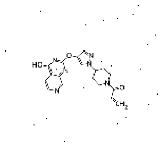 C=CC(=O)N1CCC(n2cc(Oc3nc(O)c4ccncc4n3)cn2)CC1